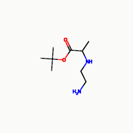 CC(NCCN)C(=O)OC(C)(C)C